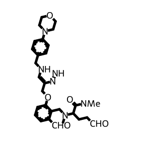 CNC(=O)C(CCC=O)N(C)Cc1c(C=O)cccc1OC/C(=C/NCc1ccc(N2CCOCC2)cc1)N=N